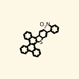 O=[N+]([O-])c1ccccc1C1=CC2Sc3c(c4ccccc4c4c5ccccc5c5ccccc5c34)C2C=C1